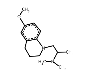 COc1ccc2c(c1)CCCN2CC(C)N(C)C